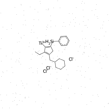 CCC1=C(CC2CCCCC2)CC([SiH2]c2ccccc2)=[C]1[Ti+3].[Cl-].[Cl-].[Cl-]